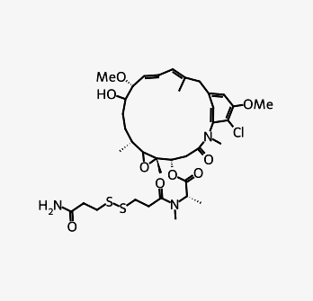 COc1cc2cc(c1Cl)N(C)C(=O)C[C@H](OC(=O)[C@H](C)N(C)C(=O)CCSSCCC(N)=O)[C@]1(C)OC1[C@H](C)CCC(O)[C@H](OC)/C=C/C=C(\C)C2